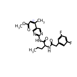 CCCC(NC(=O)Cc1cc(F)cc(F)c1)C(=O)Nc1ncc(/C(C)=C\C(=O)OC)cn1